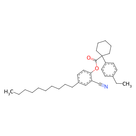 CCCCCCCCCCc1ccc(OC(=O)C2(c3ccc(CC)cc3)CCCCC2)c(C#N)c1